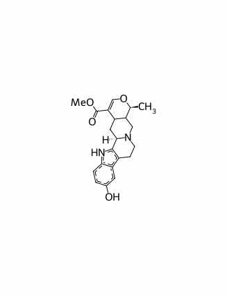 COC(=O)C1=CO[C@@H](C)C2CN3CCc4c([nH]c5ccc(O)cc45)[C@H]3CC12